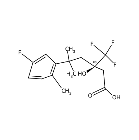 Cc1ccc(F)cc1C(C)(C)C[C@@](O)(CC(=O)O)C(F)(F)F